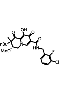 CCCC[C@@]1(C)C(=O)c2c(O)c(=O)c(C(=O)NCc3cccc(Cl)c3F)cn2C[C@@H]1OC